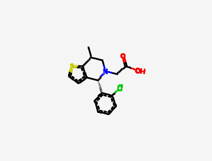 CC1CN(CC(=O)O)[C@H](c2ccccc2Cl)c2ccsc21